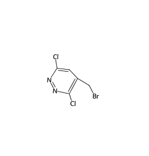 Clc1cc(CBr)c(Cl)nn1